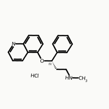 CNCC[C@H](Oc1cccc2ncccc12)c1ccccc1.Cl